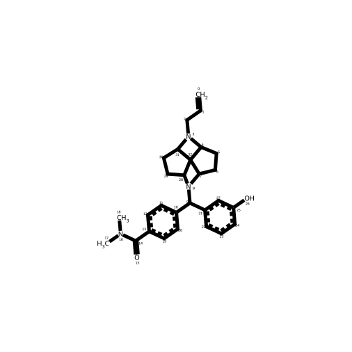 C=CCN1C2CCC3N(C(c4ccc(C(=O)N(C)C)cc4)c4cccc(O)c4)C4CCC1C234